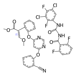 CO/C=C(/C(=O)OC)c1ccccc1Oc1cc(Oc2ccccc2C#N)ncn1.O=C(NC(=O)c1c(F)cccc1F)Nc1cc(Cl)c(F)c(Cl)c1F